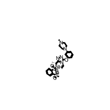 CCn1c(Oc2cccc(N3CCN(C)CC3)c2)nnc1[C@@H](C)NS(=O)(=O)c1ccccc1S(C)(=O)=O